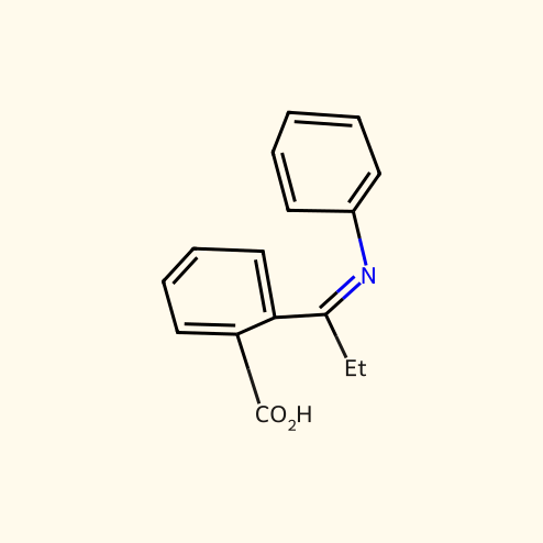 CCC(=Nc1ccccc1)c1ccccc1C(=O)O